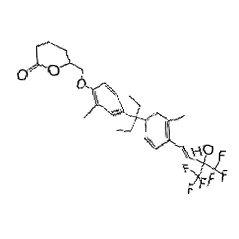 CCC(CC)(c1ccc(C=CC(O)(C(F)(F)F)C(F)(F)F)c(C)c1)c1ccc(OCC2CCCC(=O)O2)c(C)c1